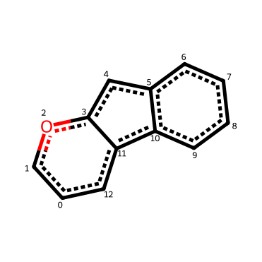 c1coc2cc3ccccc3c-2c1